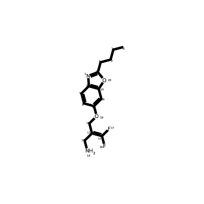 CCCCc1nc2ccc(OCC(CN)=C(F)F)cc2o1